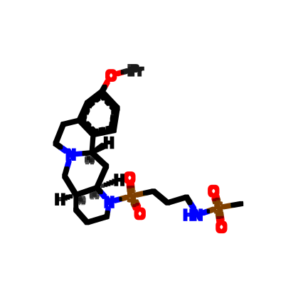 CC(C)Oc1ccc2c(c1)CCN1C[C@@H]3CCCN(S(=O)(=O)CCCNS(C)(=O)=O)[C@@H]3C[C@@H]21